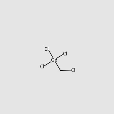 Cl[CH2][Ge]([Cl])([Cl])[Cl]